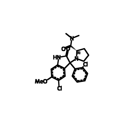 COc1cc2c(cc1Cl)C(c1ccccc1Cl)(N1CCC[C@H]1C(=O)N(C)C)C(=O)N2